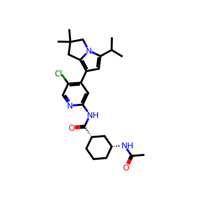 CC(=O)N[C@@H]1CCC[C@H](C(=O)Nc2cc(-c3cc(C(C)C)n4c3CC(C)(C)C4)c(Cl)cn2)C1